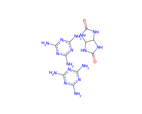 Nc1nc(N)nc(N)n1.Nc1nc(N)nc(N)n1.O=C1NC2NC(=O)NC2N1